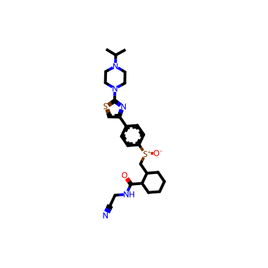 CC(C)N1CCN(c2nc(-c3ccc([S+]([O-])CC4CCCCC4C(=O)NCC#N)cc3)cs2)CC1